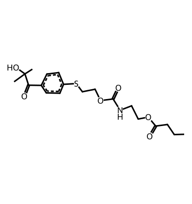 CCCC(=O)OCCNC(=O)OCCSc1ccc(C(=O)C(C)(C)O)cc1